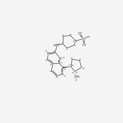 CS(=O)(=O)N1CCC(Nc2ncc3ccnc([C@H]4CCC[C@@H]4O)c3n2)CC1